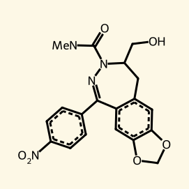 CNC(=O)N1N=C(c2ccc([N+](=O)[O-])cc2)c2cc3c(cc2CC1CO)OCO3